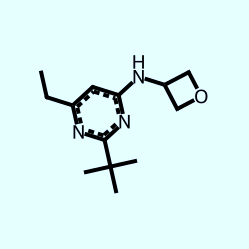 CCc1cc(NC2COC2)nc(C(C)(C)C)n1